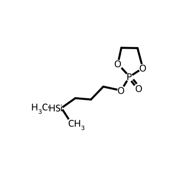 C[SiH](C)CCCOP1(=O)OCCO1